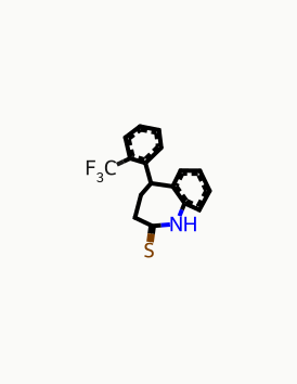 FC(F)(F)c1ccccc1C1CCC(=S)Nc2ccccc21